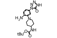 CC(C)(C)OC(=O)NC1CCN(c2cc(-n3nn[nH]c3=O)ccc2N)CC1